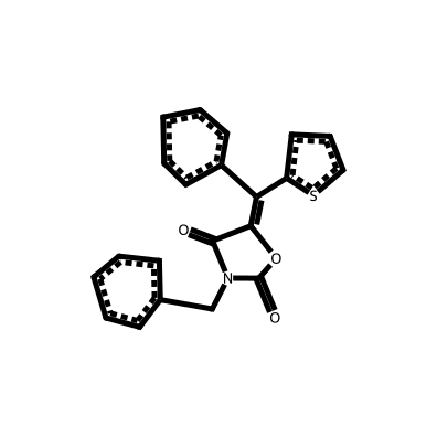 O=C1O/C(=C(/c2ccccc2)c2cccs2)C(=O)N1Cc1ccccc1